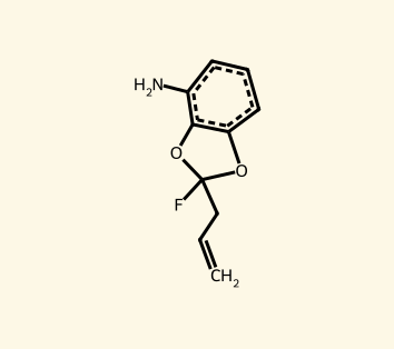 C=CCC1(F)Oc2cccc(N)c2O1